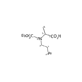 CCOC(=O)N(CCC(C)C)C(C)C(=O)O